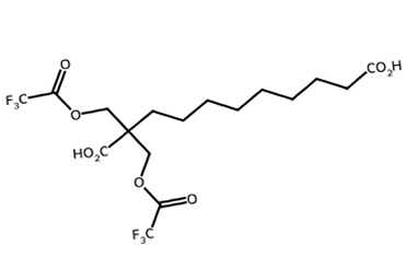 O=C(O)CCCCCCCCC(COC(=O)C(F)(F)F)(COC(=O)C(F)(F)F)C(=O)O